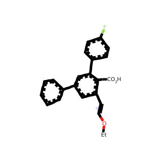 CCO/C=C/c1cc(-c2ccccc2)cc(-c2ccc(F)cc2)c1C(=O)O